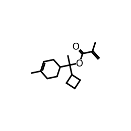 C=C(C)C(=O)OC(C)(C1CC=C(C)CC1)C1CCC1